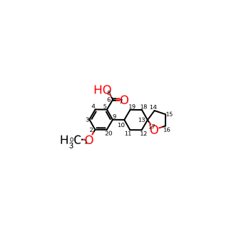 COc1ccc(C(=O)O)c(C2CCC3(CCCO3)CC2)c1